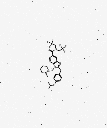 CC(C)Oc1ccc(Cc2nc3cc(C(=O)N(CC(F)(F)F)CC(F)(F)F)ccc3n2C[C@H]2CCCCN2C)cc1